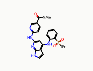 CNC(=O)c1ccc(Nc2cc(Nc3ccccc3S(=O)(=O)C(C)C)c3cc[nH]c3n2)nc1